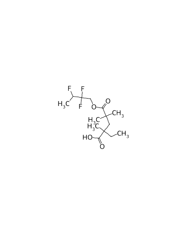 CCC(C)(CC(C)(C)C(=O)OCC(F)(F)C(C)F)C(=O)O